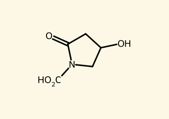 O=C(O)N1CC(O)CC1=O